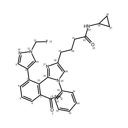 NC(=O)c1cccc(-c2cnn(CF)c2)c1-c1nc(CCCC(=O)NC2CC2)cn1-c1ccccc1